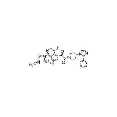 C=N/C=C\N(N)c1ncc(F)c2c(C(=O)C(=O)N3CCC(n4ccnc4-c4ccccc4)CC3)c[nH]c12